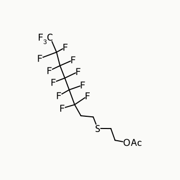 CC(=O)OCCSCCC(F)(F)C(F)(F)C(F)(F)C(F)(F)C(F)(F)C(F)(F)F